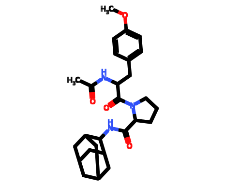 COc1ccc(CC(NC(C)=O)C(=O)N2CCCC2C(=O)NC2C3CC4CC(C3)CC2C4)cc1